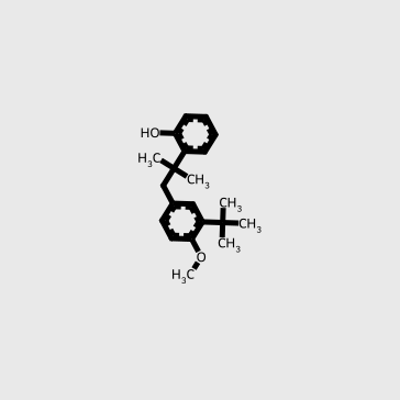 COc1ccc(CC(C)(C)c2ccccc2O)cc1C(C)(C)C